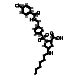 CCCCCCNC1CC(C(=O)O)N(S(=O)(=O)c2ccc(CNC(=O)c3ccc(Cl)cc3)s2)C1